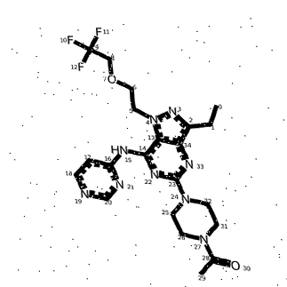 CCc1nn(CCOCC(F)(F)F)c2c(Nc3ccncn3)nc(N3CCN(C(C)=O)CC3)nc12